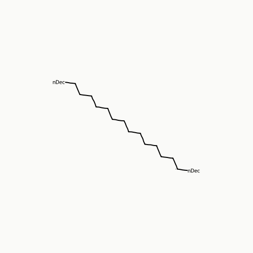 CCCCCCCCCC[CH]CCCCCCCCCCCCCCCCCCCCCCC